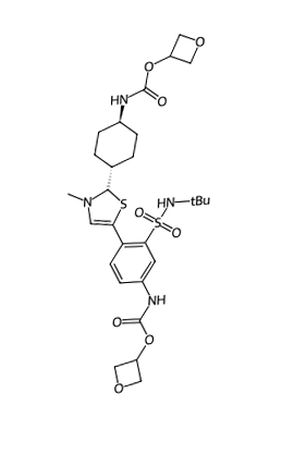 CN1C=C(c2ccc(NC(=O)OC3COC3)cc2S(=O)(=O)NC(C)(C)C)SC1[C@H]1CC[C@H](NC(=O)OC2COC2)CC1